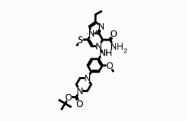 CCC1=C[N+]2C(SC)=CN(Nc3ccc(N4CCN(C(=O)OC(C)(C)C)CC4)cc3OC)C(C(N)=O)C2=N1